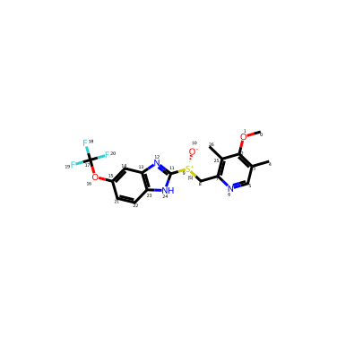 COc1c(C)cnc(C[S@@+]([O-])c2nc3cc(OC(F)(F)F)ccc3[nH]2)c1C